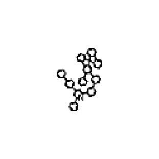 c1ccc(-c2ccc(-c3cc(-c4ccccc4)nc(-c4cccc(-c5cccc(-c6cc7c(cc6-c6ccccc6)-c6ccccc6C76c7ccccc7-c7ccccc76)c5)c4)c3)cc2)cc1